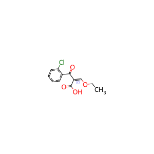 CCO/C=C(\C(=O)O)C(=O)c1ccccc1Cl